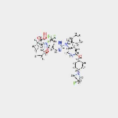 CC1CC2CC(C)C(NC(=O)c3cnc(N4CC5(CCCCC5)c5cc(O[C@H]6CC[C@H](N7CC(F)(F)C7)CC6)ncc54)nc3C(F)(F)F)(C(=O)O)C(C1)C2